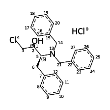 Cl.O[C@H](CCl)[C@H](Cc1ccccc1)N(Cc1ccccc1)Cc1ccccc1